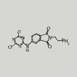 O=C1c2ccc(Nc3nc(Cl)nc(Cl)n3)cc2C(=O)N1CCP